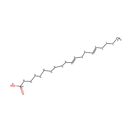 CCCCC=CCCC=CCCCCCCCCCC(=O)O